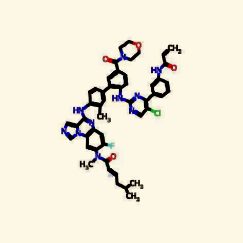 C=CC(=O)Nc1cccc(-c2nc(Nc3ccc(C(=O)N4CCOCC4)cc3-c3ccc(Nc4nc5cc(F)c(N(C)C(=O)/C=C/CC(C)C)cc5n5cncc45)c(C)c3)ncc2Cl)c1